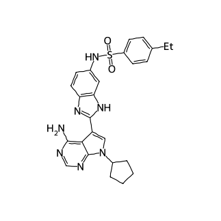 CCc1ccc(S(=O)(=O)Nc2ccc3nc(-c4cn(C5CCCC5)c5ncnc(N)c45)[nH]c3c2)cc1